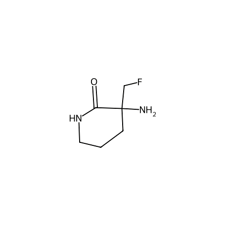 NC1(CF)CCCNC1=O